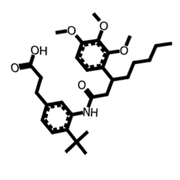 CCCCCC(CC(=O)Nc1cc(CCC(=O)O)ccc1C(C)(C)C)c1ccc(OC)c(OC)c1OC